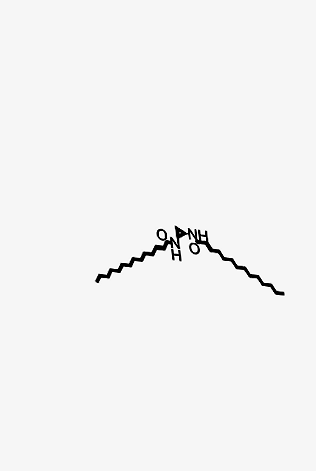 CCCCCCCCCCC/C=C/C(=O)N[C@H]1C[C@H]1NC(=O)/C=C/CCCCCCCCCCC